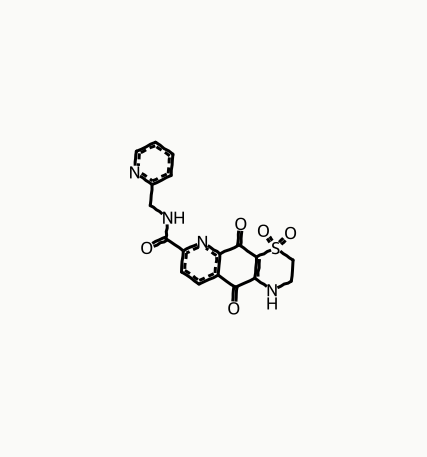 O=C(NCc1ccccn1)c1ccc2c(n1)C(=O)C1=C(NCCS1(=O)=O)C2=O